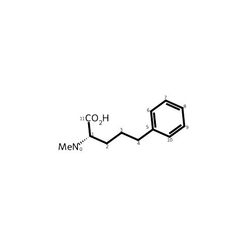 CN[C@@H](CCCc1ccccc1)C(=O)O